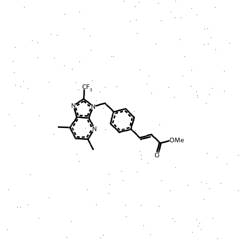 COC(=O)/C=C/c1ccc(Cn2c(C(F)(F)F)nc3c(C)cc(C)nc32)cc1